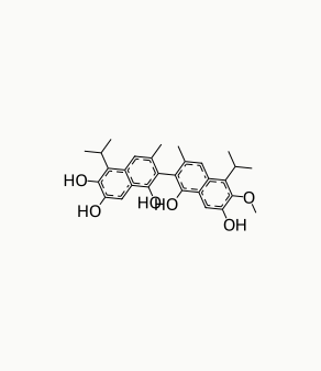 COc1c(O)cc2c(O)c(-c3c(C)cc4c(C(C)C)c(O)c(O)cc4c3O)c(C)cc2c1C(C)C